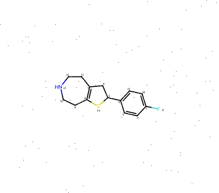 Fc1ccc(C2CC3=C(CCNCC3)S2)cc1